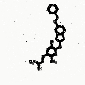 CCN(C)/C=N/c1cc(Br)c(OC2Cc3ccc(OCc4ccccc4)cc3C2)nc1C